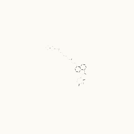 O=C(CCCCCNC1CC2(CCC2)C1)NCc1ccc2c3c(cccc13)C(=O)N2C1CCC(=O)NC1=O